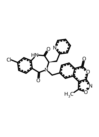 Cc1onc2oc(=O)c3ccc(CN4C(=O)c5ccc(Cl)cc5NC(=O)[C@H]4Cc4ccccn4)cc3c12